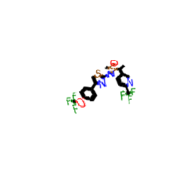 CC(c1ccc(C(F)(F)F)nc1)S(C)(=O)=Nc1nc(-c2ccc(OC(F)(F)F)cc2)cs1